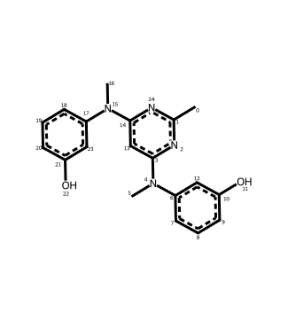 Cc1nc(N(C)c2cccc(O)c2)cc(N(C)c2cccc(O)c2)n1